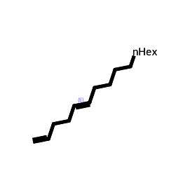 C=CCC/C=C/CCCCCCCCCC